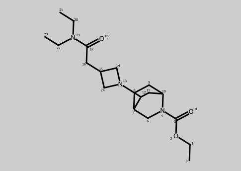 CCOC(=O)N1CC2CCC1CC2N1CC(CC(=O)N(CC)CC)C1